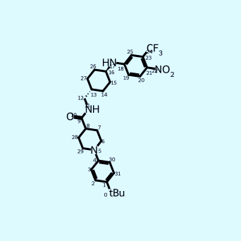 CC(C)(C)c1ccc(N2CCC(C(=O)NC[C@H]3CC[C@H](Nc4ccc([N+](=O)[O-])c(C(F)(F)F)c4)CC3)CC2)cc1